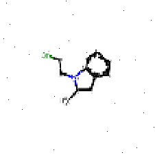 CC1Cc2ccccc2N1CCBr